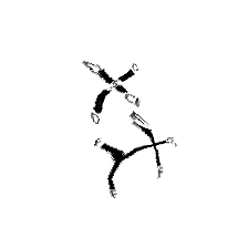 FC(F)C(F)(F)C(F)(F)F.O=S(=O)(Cl)Cl